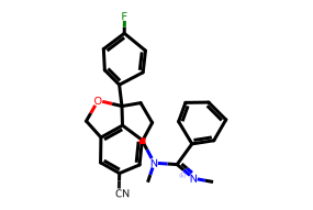 C/N=C(\c1ccccc1)N(C)CCCC1(c2ccc(F)cc2)OCc2cc(C#N)ccc21